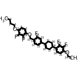 CCCCOc1ccc(OCc2ccc(C3=CCC(c4ccc(OCC)c(F)c4F)CC3)cc2F)c(F)c1F